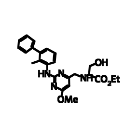 CCOC(=O)C(CO)NCc1cc(OC)nc(Nc2cccc(-c3ccccc3)c2C)n1